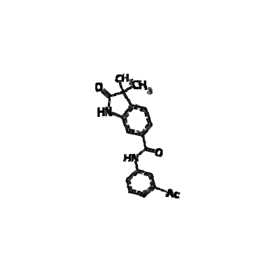 CC(=O)c1cccc(NC(=O)c2ccc3c(c2)NC(=O)C3(C)C)c1